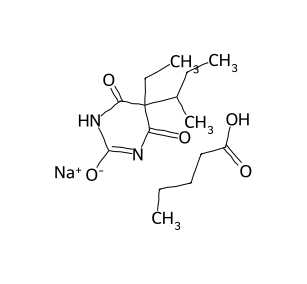 CCC(C)C1(CC)C(=O)N=C([O-])NC1=O.CCCCC(=O)O.[Na+]